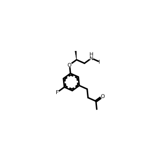 CC(=O)CCc1cc(F)cc(O[C@@H](C)CNI)c1